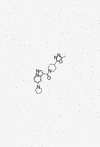 Cc1nnc(C2CCN(C(=O)c3cnn4ccc(N5CCCC5)cc34)CC2)o1